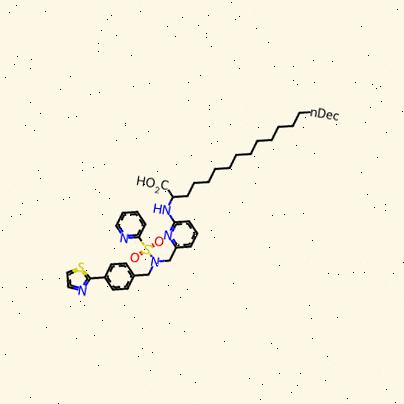 CCCCCCCCCCCCCCCCCCCCCCC(Nc1cccc(CN(Cc2ccc(-c3nccs3)cc2)S(=O)(=O)c2ccccn2)n1)C(=O)O